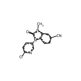 Cn1c(=O)n(-c2ccc(Cl)nc2)c2ccc(C#N)cc21